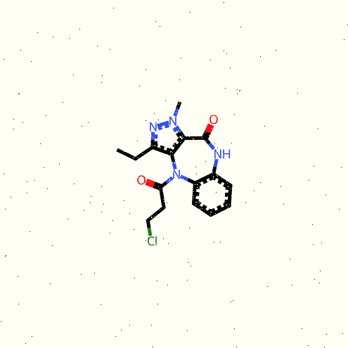 CCc1nn(C)c2c1N(C(=O)CCCl)c1ccccc1NC2=O